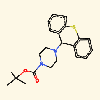 CC(C)(C)OC(=O)N1CCN(C2c3ccccc3Sc3ccccc32)CC1